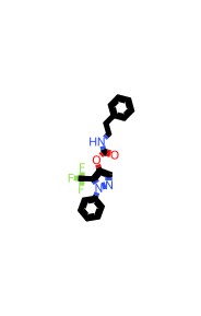 O=C(NCCc1ccccc1)Oc1cnn(-c2ccccc2)c1C(F)(F)F